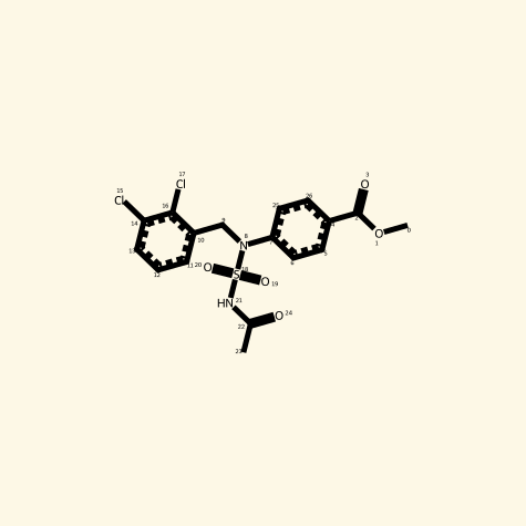 COC(=O)c1ccc(N(Cc2cccc(Cl)c2Cl)S(=O)(=O)NC(C)=O)cc1